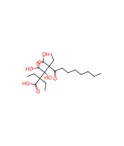 CCCCCCCC(=O)C(CC)(C(=O)O)C(O)(C(=O)O)C(CC)(CC)C(=O)O